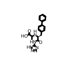 CC(N[C@@H](Cc1ccc(-c2ccccc2)cc1)C(=O)Nc1nnn[nH]1)C(=O)O